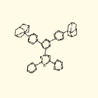 c1ccc(-c2nc(-c3ccccc3)nc(-c3cc(-c4ccc(C56CC7CC(CC(C7)C5)C6)cc4)cc(-c4ccc(C56CC7CC(CC(C7)C5)C6)cc4)c3)n2)cc1